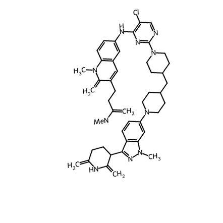 C=C(CCC1=Cc2cc(Nc3nc(N4CCC(CC5CCN(c6ccc7c(C8CCC(=C)NC8=C)nn(C)c7c6)CC5)CC4)ncc3Cl)ccc2N(C)C1=C)NC